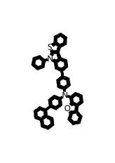 c1ccc(-n2c3cc(-c4ccc(N(c5ccc(-c6cccc7ccccc67)cc5)c5cccc6c5oc5ccccc56)cc4)ccc3c3c4ccccc4sc32)cc1